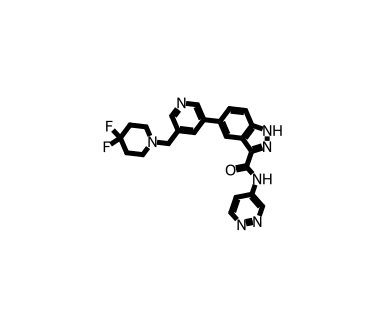 O=C(Nc1ccnnc1)c1n[nH]c2ccc(-c3cncc(CN4CCC(F)(F)CC4)c3)cc12